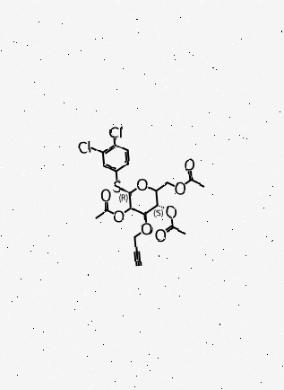 C#CCOC1C(OC(C)=O)[C@@H](Sc2ccc(Cl)c(Cl)c2)OC(COC(C)=O)[C@@H]1OC(C)=O